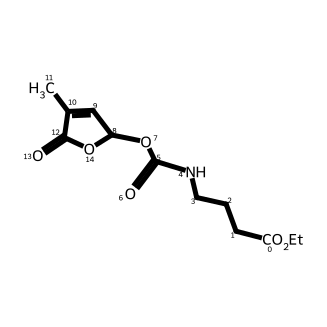 CCOC(=O)CCCNC(=O)OC1C=C(C)C(=O)O1